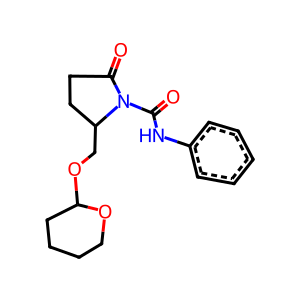 O=C1CCC(COC2CCCCO2)N1C(=O)Nc1ccccc1